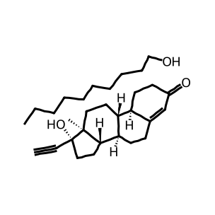 C#C[C@]1(O)CC[C@H]2[C@@H]3CCC4=CC(=O)CC[C@@H]4[C@H]3CC[C@@]21C.CCCCCCCCCCO